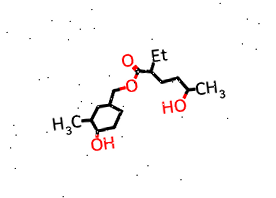 CCC(CCC(C)O)C(=O)OCC1CCC(O)C(C)C1